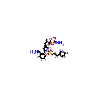 CC(Cc1cc(-c2ccccc2CN)n(S(=O)(=O)CC=Cc2cccnc2)c1)C(C)(C)OC(N)=O